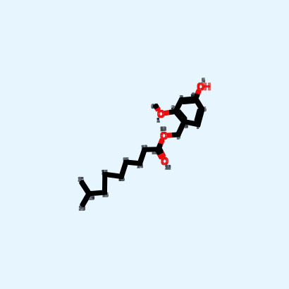 COc1cc(O)ccc1COC(=O)CCCCCCC(C)C